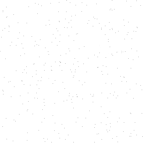 O=C(O)C1CCc2[nH]c3ccc(OCc4ccccc4)cc3c2C1